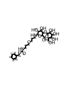 O=C(NCCCOCCCN[C@H]1OC(CO)[C@@H](O[C@H]2OC(CO)[C@@H](O)[C@H](O)C2O)[C@H](O)C1O)OCc1ccccc1